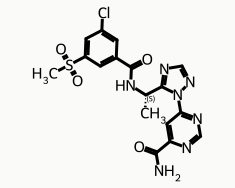 C[C@H](NC(=O)c1cc(Cl)cc(S(C)(=O)=O)c1)c1ncnn1-c1cc(C(N)=O)ncn1